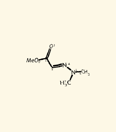 COC(=O)C=NN(C)C